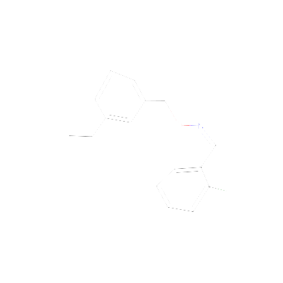 CCc1cccc(CO/N=[C]\c2ccccc2F)c1